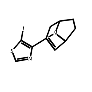 CN1C2C=C(c3ncsc3I)CC1CC2